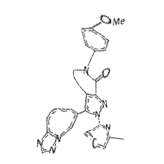 COc1ccc(N2CCc3c(nn(-c4cccc(C)n4)c3-c3ccc4ncnn4c3)C2=O)cc1